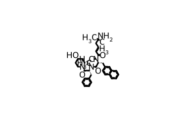 CN(C(=O)C=CCC(C)(C)N)[C@H](Cc1ccc2ccccc2c1)C(=O)N(C)[C@H](Cc1ccccc1)C(=O)N1CCC(O)CC1